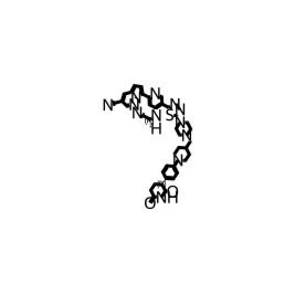 C[C@H](C#N)Nc1cc(-c2ccc3cc(C#N)cnn23)ncc1-c1nnc(N2CCN(CC3CCN(c4ccc([C@H]5CCC(=O)NC5=O)cc4)CC3)CC2)s1